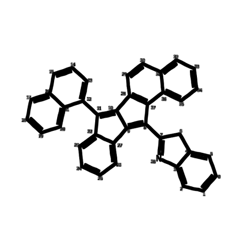 c1ccc2c(c1)CC(C1=C3C(=C(c4cccc5ccccc45)c4ccccc43)c3ccc4ccccc4c31)=N2